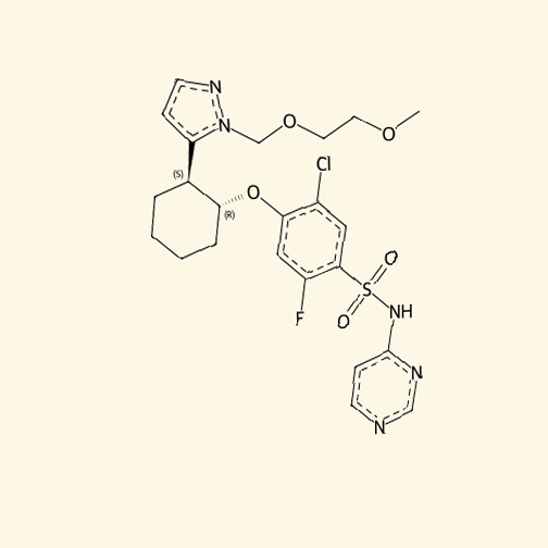 COCCOCn1nccc1[C@@H]1CCCC[C@H]1Oc1cc(F)c(S(=O)(=O)Nc2ccncn2)cc1Cl